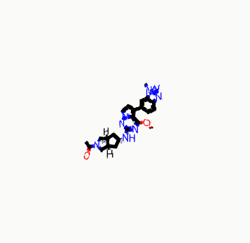 COc1nc(N[C@@H]2C[C@@H]3CN(C(C)=O)C[C@@H]3C2)nn2ccc(-c3ccc4nnn(C)c4c3)c12